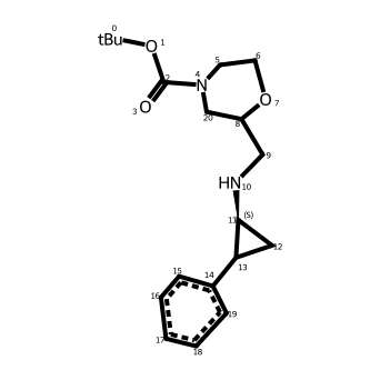 CC(C)(C)OC(=O)N1CCOC(CN[C@H]2CC2c2ccccc2)C1